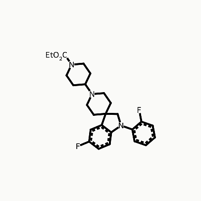 CCOC(=O)N1CCC(N2CCC3(CC2)CN(c2ccccc2F)c2ccc(F)cc23)CC1